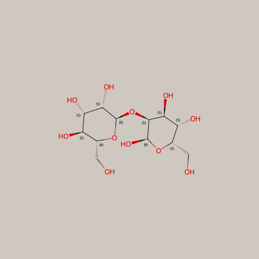 OC[C@@H]1O[C@@H](O)[C@@H](O[C@H]2O[C@H](CO)[C@@H](O)[C@H](O)[C@@H]2O)[C@@H](O)[C@@H]1O